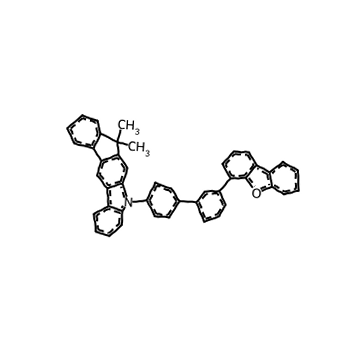 CC1(C)c2ccccc2-c2cc3c4ccccc4n(-c4ccc(-c5cccc(-c6cccc7c6oc6ccccc67)c5)cc4)c3cc21